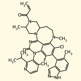 C=CC(=O)N1CC2CCN(C)c3c(Cl)c(-c4c(C)ccc5[nH]ncc45)c(F)c4c3c(nc(=O)n4-c3c(C)ccnc3C(C)C)N2CC1C